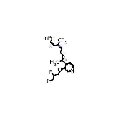 CCC/C=C\C(=C/C/N=C(\C)c1ccncc1OCC(F)CF)C(F)(F)F